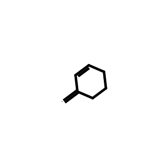 [CH]=C1C=CCCC1